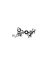 CCS(=O)(=O)N[C@@H]1CCOC[C@H]1COc1ccc(-n2nc(C(F)(F)F)cc2C(F)(F)F)cc1